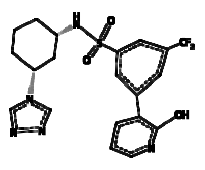 O=S(=O)(N[C@H]1CCC[C@@H](n2cnnc2)C1)c1cc(-c2cccnc2O)cc(C(F)(F)F)c1